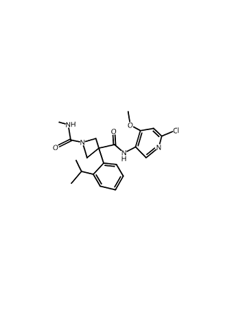 CNC(=O)N1CC(C(=O)Nc2cnc(Cl)cc2OC)(c2ccccc2C(C)C)C1